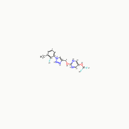 Cc1cccc(-n2cc(COc3ncc(OC(F)F)cn3)nn2)c1F